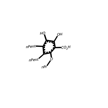 CCCCCc1c(O)c(O)c(C(=O)O)c(OCCC)c1CCCCC